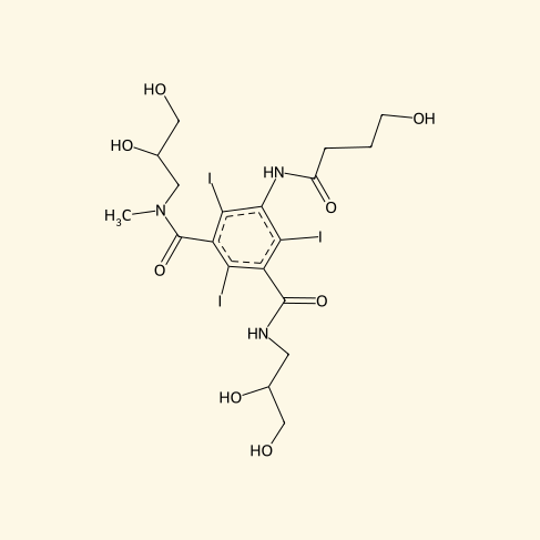 CN(CC(O)CO)C(=O)c1c(I)c(NC(=O)CCCO)c(I)c(C(=O)NCC(O)CO)c1I